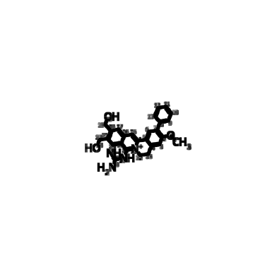 COc1cc2c(cc1-c1ccccc1)-c1cc3cc(CO)c(CO)cc3c(NC(=N)N)[n+]1CC2